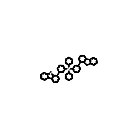 c1ccc([Si](c2ccccc2)(c2cccc(-c3cccc4c3Cc3ccccc3-4)c2)c2cccc(-c3cccc4c3sc3ccccc34)c2)cc1